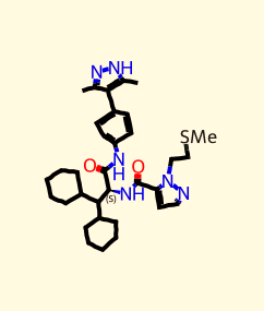 CSCCn1nccc1C(=O)N[C@H](C(=O)Nc1ccc(-c2c(C)n[nH]c2C)cc1)C(C1CCCCC1)C1CCCCC1